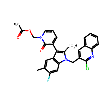 Cc1cc2c(-c3cccn(COC(=O)C(C)(C)C)c3=O)c(C(=O)O)n(Cc3cc4ccccc4nc3Cl)c2cc1F